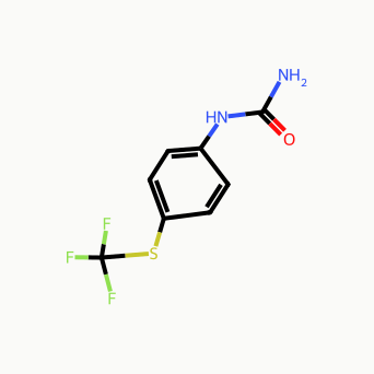 NC(=O)Nc1ccc(SC(F)(F)F)cc1